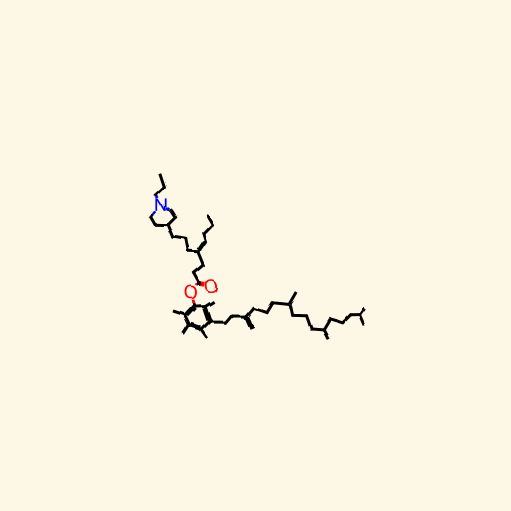 C=C(CCCC(C)CCCC(C)CCCC(C)C)CCc1c(C)c(C)c(C)c(OC(=O)CC/C(=C/CCC)CCCC2CCN(CCC)CC2)c1C